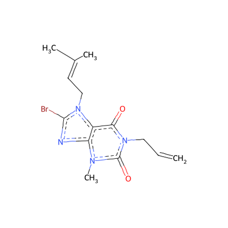 C=CCn1c(=O)c2c(nc(Br)n2CC=C(C)C)n(C)c1=O